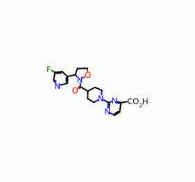 O=C(O)c1ccnc(N2CCC(C(=O)N3OCCC3c3cncc(F)c3)CC2)n1